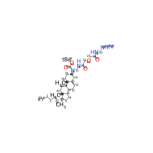 CC(C)CCCC(C)[C@H]1CCC2C3CC=C4C[C@@H](N(CNC(=O)COCC(=O)NCN=[N+]=[N-])C(=O)OC(C)(C)C)CC[C@]4(C)C3CC[C@@]21C